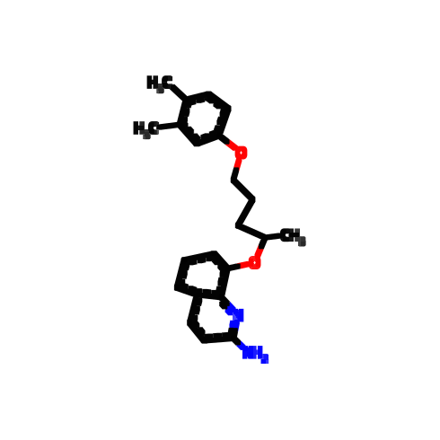 Cc1ccc(OCCCC(C)Oc2cccc3ccc(N)nc23)cc1C